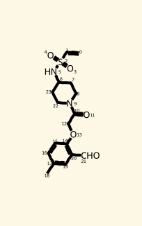 C=CS(=O)(=O)NC1CCN(C(=O)COc2ccc(C)cc2C=O)CC1